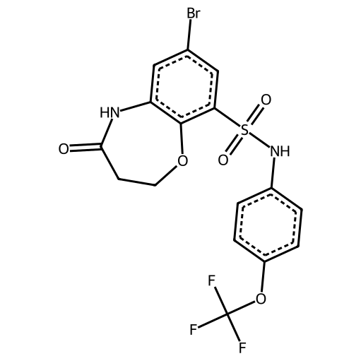 O=C1CCOc2c(cc(Br)cc2S(=O)(=O)Nc2ccc(OC(F)(F)F)cc2)N1